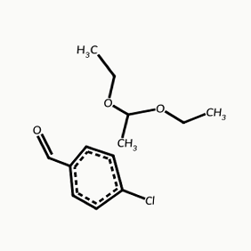 CCOC(C)OCC.O=Cc1ccc(Cl)cc1